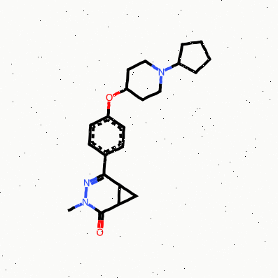 CN1N=C(c2ccc(OC3CCN(C4CCCC4)CC3)cc2)C2CC2C1=O